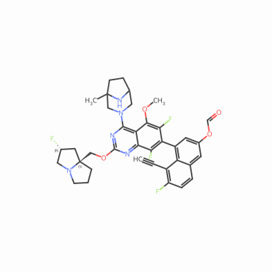 C#Cc1c(F)ccc2cc(OC=O)cc(-c3c(F)c(OC)c4c(N5CC6CCC(C)(C5)N6)nc(OC[C@@]56CCCN5C[C@H](F)C6)nc4c3F)c12